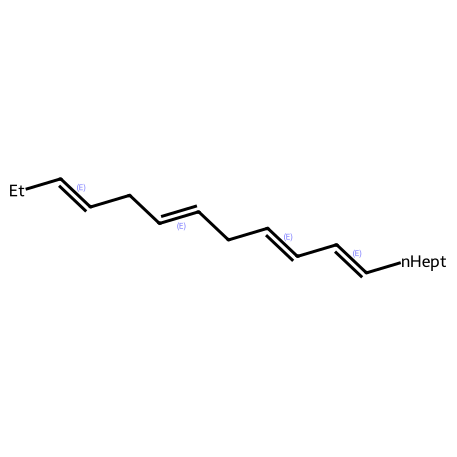 CC/C=C/C/C=C/C/C=C/C=C/CCCCCCC